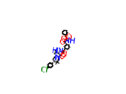 CC(C)[C@@H](NC(=O)c1cccc(C(=O)NS(=O)(=O)c2ccccc2)c1)C(=O)N1CC[C@H](c2ccc(Cl)cc2)C(C)(C)C1